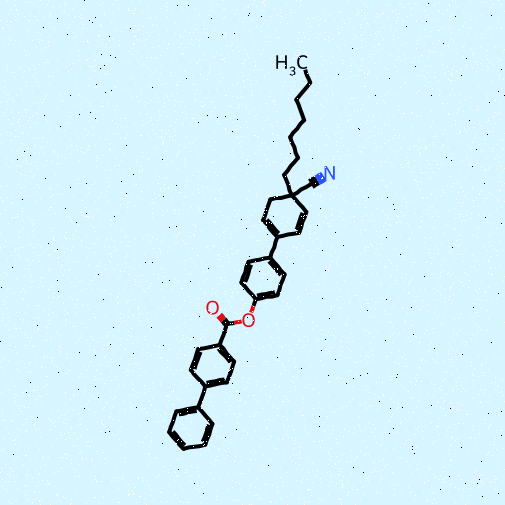 CCCCCCCC1(C#N)C=CC(c2ccc(OC(=O)c3ccc(-c4ccccc4)cc3)cc2)=CC1